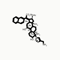 CC(=O)O[C@H]1C[C@@]2(C)[C@@H](C[C@@H](O)[C@H]3[C@@]4(C)CC[C@@H](O)[C@](N)(n5cc(CN)nn5)[C@@H]4CC[C@@]32N)/C1=C(/C(=O)O)c1ccc2ccccc2c1